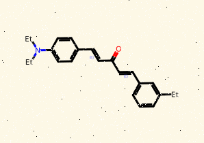 CCc1cccc(/C=C/C(=O)/C=C/c2ccc(N(CC)CC)cc2)c1